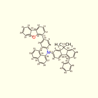 CC1(C)c2cc(N(c3ccc(-c4cccc5c4oc4ccccc45)cc3)c3cccc4ccccc34)ccc2-c2c(-c3ccccc3)cccc21